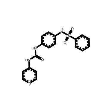 O=C(Nc1ccncc1)Nc1ccc(NS(=O)(=O)c2ccccc2)cc1